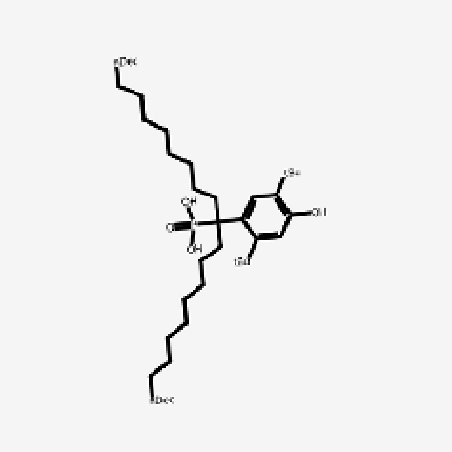 CCCCCCCCCCCCCCCCCCC(CCCCCCCCCCCCCCCCCC)(c1cc(C(C)(C)C)c(O)cc1C(C)(C)C)P(=O)(O)O